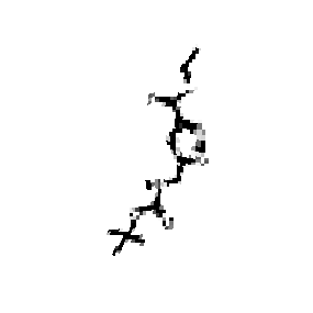 CCOC(=O)c1cc(CNC(=O)OC(C)(C)C)on1